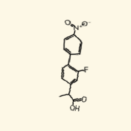 CC(C(=O)O)c1ccc(-c2ccc([N+](=O)[O-])cc2)c(F)c1